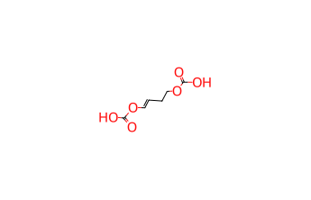 O=C(O)OC=CCCOC(=O)O